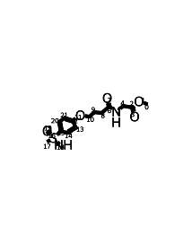 COC(=O)CNC(=O)CCCOc1ccc(S(C)(=N)=O)cc1